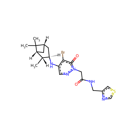 C[C@@H]1[C@H]2C[C@@H](C[C@H]1Nc1cnn(CC(=O)NCc3cscn3)c(=O)c1Br)C2(C)C